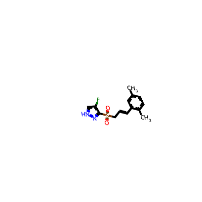 Cc1ccc(C)c(C=CCS(=O)(=O)c2n[nH]cc2F)c1